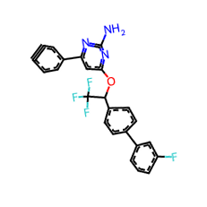 Nc1nc(OC(c2ccc(-c3cccc(F)c3)cc2)C(F)(F)F)cc(-c2cc#ccc2)n1